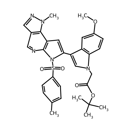 COc1ccc2c(c1)c(-c1cc3c4c(cnc3n1S(=O)(=O)c1ccc(C)cc1)cnn4C)cn2CC(=O)OC(C)(C)C